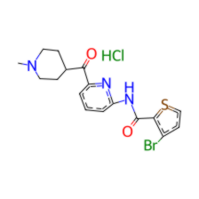 CN1CCC(C(=O)c2cccc(NC(=O)c3sccc3Br)n2)CC1.Cl